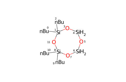 CCCC[Si]1(CCCC)O[SiH2]O[SiH2]O[Si](CCCC)(CCCC)O1